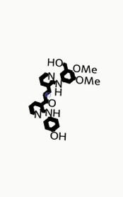 COc1cc(Nc2ncccc2/C=C/C(=O)c2cccnc2Nc2ccc(O)cc2)cc(CO)c1OC